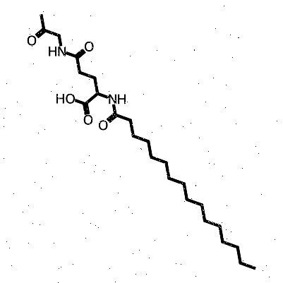 CCCCCCCCCCCCCCCC(=O)NC(CCC(=O)NCC(C)=O)C(=O)O